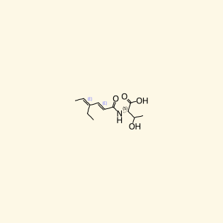 C/C=C(/C=C/C(=O)N[C@H](C(=O)O)C(C)O)CC